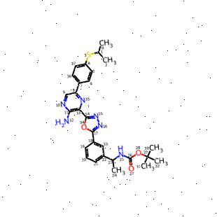 CC(C)Sc1ccc(-c2cnc(N)c(-c3nnc(-c4cccc(C(C)NC(=O)OC(C)(C)C)c4)o3)n2)cc1